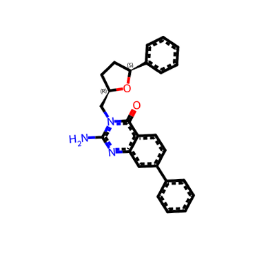 Nc1nc2cc(-c3ccccc3)ccc2c(=O)n1C[C@H]1CC[C@@H](c2ccccc2)O1